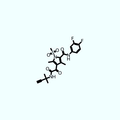 C#CC(C)(C)NC(=O)C(=O)c1c(C)c(C(=O)Nc2ccc(F)c(F)c2)n(S(C)(=O)=O)c1C